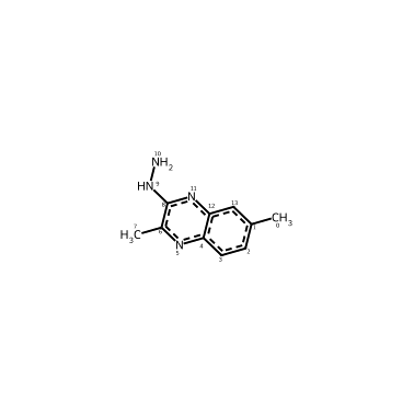 Cc1ccc2nc(C)c(NN)nc2c1